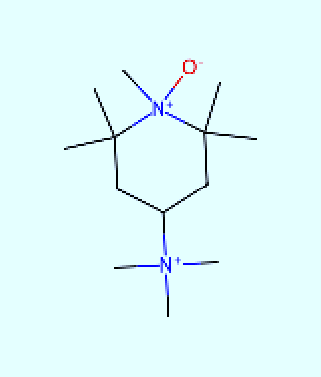 CC1(C)CC([N+](C)(C)C)CC(C)(C)[N+]1(C)[O-]